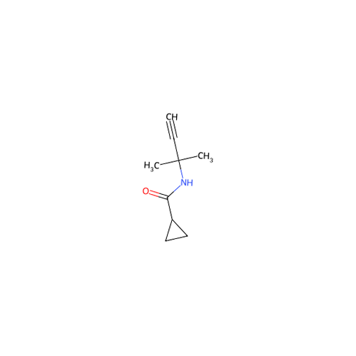 C#CC(C)(C)NC(=O)C1CC1